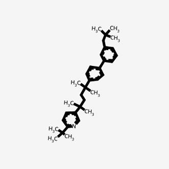 CC(C)(C)Cc1cccc(-c2ccc(C(C)(C)CCC(C)(C)c3ccc(C(C)(C)C)nc3)cc2)c1